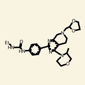 CCNC(=O)Nc1ccc(-c2nc3c(c(N4CCOCC4C)n2)CCN(CC2OCCO2)C3)cc1